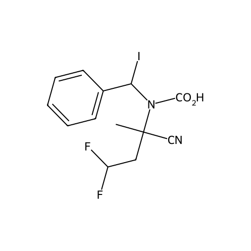 CC(C#N)(CC(F)F)N(C(=O)O)C(I)c1ccccc1